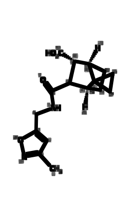 Cc1cc(CNC(=O)C2[C@H](C(=O)O)[C@H]3CC[C@@H]2C32CC2)on1